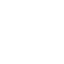 CCOC(=O)/C=C(/COc1ccc(OC)cc1C=O)c1ccc(OC)cc1